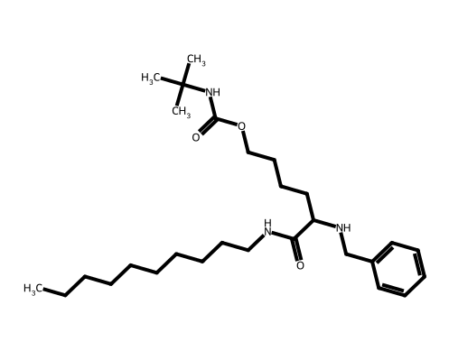 CCCCCCCCCCNC(=O)C(CCCCOC(=O)NC(C)(C)C)NCc1ccccc1